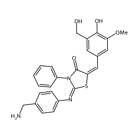 COc1cc(/C=C2/S/C(=N/c3ccc(CN)cc3)N(c3ccccc3)C2=O)cc(CO)c1O